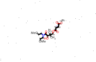 COCCN(CCOC)C(=O)[C@H](O)C(C)(C)COC(=O)/C=C/C(=O)OC(C)C